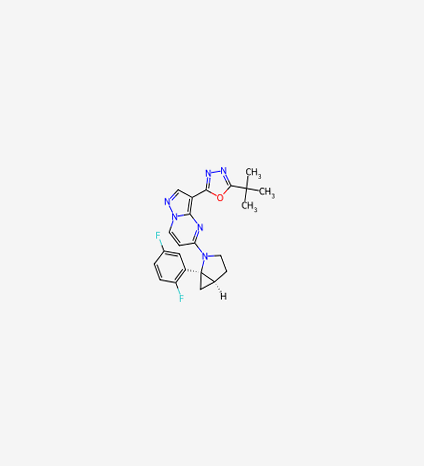 CC(C)(C)c1nnc(-c2cnn3ccc(N4CC[C@H]5C[C@]54c4cc(F)ccc4F)nc23)o1